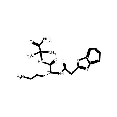 CC(C)(NC(=O)[C@@H](CCCN)NC(=O)Cc1nc2ccccc2s1)C(N)=O